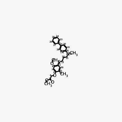 COC(=O)COc1cc(OC)c(SCCCN(C)c2ccc(-c3ccccc3)cn2)cc1C